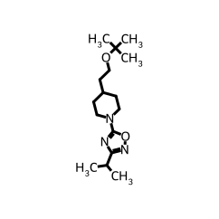 CC(C)c1noc(N2CCC(CCOC(C)(C)C)CC2)n1